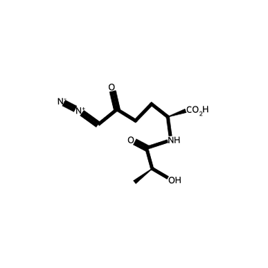 C[C@H](O)C(=O)N[C@@H](CCC(=O)C=[N+]=[N-])C(=O)O